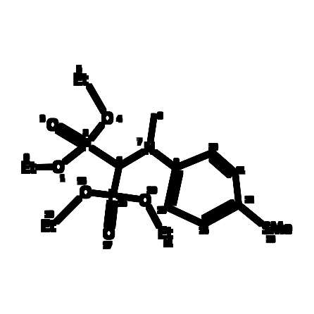 CCOP(=O)(OCC)C(N(C)c1ccc(SC)cc1)P(=O)(OCC)OCC